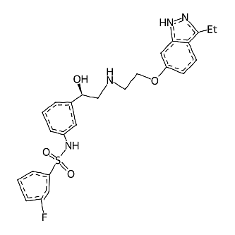 CCc1n[nH]c2cc(OCCNC[C@H](O)c3cccc(NS(=O)(=O)c4cccc(F)c4)c3)ccc12